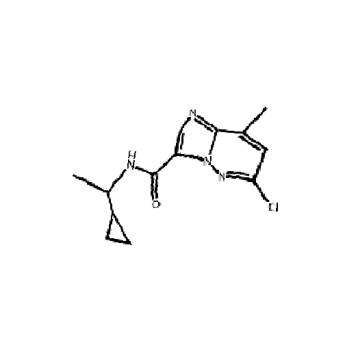 Cc1cc(Cl)nn2c(C(=O)NC(C)C3CC3)cnc12